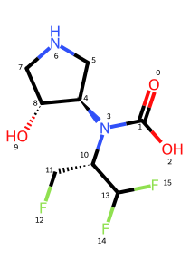 O=C(O)N([C@@H]1CNC[C@H]1O)[C@@H](CF)C(F)F